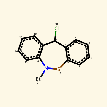 CCN1Sc2ccccc2C(Cl)c2ccccc21